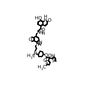 Cc1ccc([C@](O)(C(=O)OC2CCC(N(C)CCCn3nnc4cc(CNC[C@H](O)c5ccc(O)c6[nH]c(=O)ccc56)c5c(c43)COC5)CC2)c2cccs2)s1